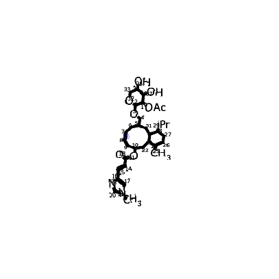 CC(=O)OC1C(OCC2C/C=C\CC(OC(=O)C=Cc3cn(C)cn3)CC3C(C)=CCC(C(C)C)C3C2)OCC(O)C1O